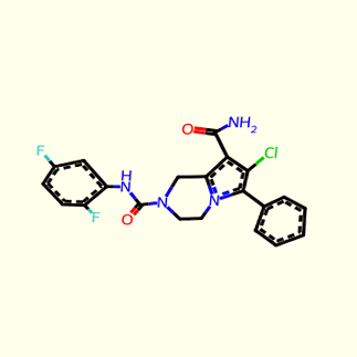 NC(=O)c1c(Cl)c(-c2ccccc2)n2c1CN(C(=O)Nc1cc(F)ccc1F)CC2